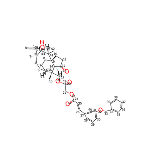 C=C[C@]1(C)CC[C@@H]2CC[C@]3(CCC(=O)[C@H]3[C@]2(C)COC(=O)COC(=O)/C=C/c2cccc(OCc3ccccc3)c2)[C@@H](C)[C@@H]1O